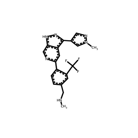 CNCc1ccc(-c2cc3c(-c4cnn(C)c4)n[nH]c3cn2)c(C(F)(F)F)c1